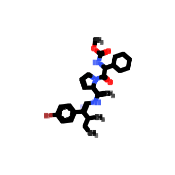 C=C(N/C=C(/c1ccc(Br)cc1)C(C)CC)C1C=CCN1C(=O)C(NC(=O)OC)C1CCCCC1